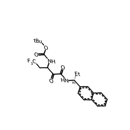 CC[C@@H](NC(=O)C(=O)C(CC(F)(F)F)NC(=O)OC(C)(C)C)c1ccc2ccccc2c1